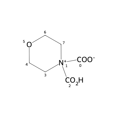 O=C([O-])[N+]1(C(=O)O)CCOCC1